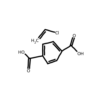 C=CCl.O=C(O)c1ccc(C(=O)O)cc1